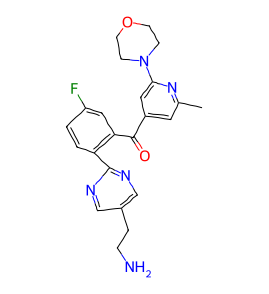 Cc1cc(C(=O)c2cc(F)ccc2-c2ncc(CCN)cn2)cc(N2CCOCC2)n1